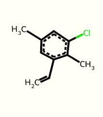 C=Cc1cc(C)cc(Cl)c1C